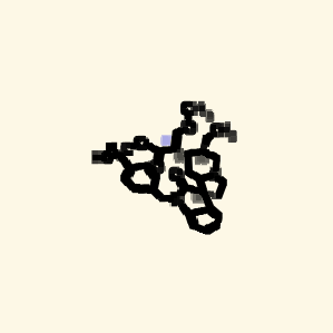 CC[C@H]1CN2CC[C@]3(C(=O)N(Cc4ccc(CO)cc4)c4ccccc43)C2C[C@@H]1/C(=C\OC)C(=O)OC